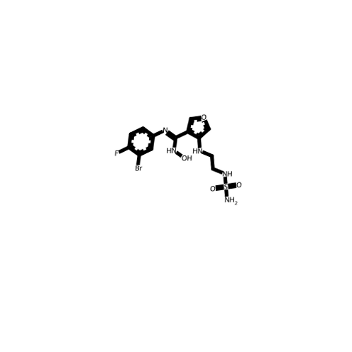 NS(=O)(=O)NCCNc1cocc1C(=Nc1ccc(F)c(Br)c1)NO